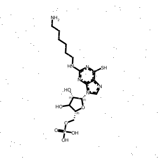 NCCCCCCNc1nc(S)c2ncn([C@@H]3O[C@H](COP(=O)(O)O)C(O)[C@@H]3O)c2n1